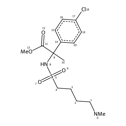 CNCCCCS(=O)(=O)NC(C)(C(=O)OC)c1ccc(Cl)cc1